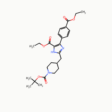 CCOC(=O)c1ccc(-c2nc(CC3CCN(C(=O)OC(C)(C)C)CC3)[nH]c2C(=O)OCC)cc1